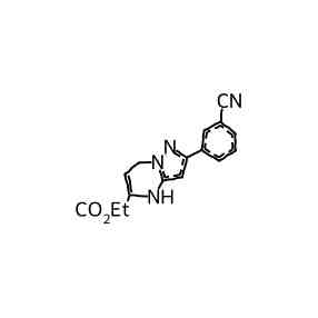 CCOC(=O)C1=CCn2nc(-c3cccc(C#N)c3)cc2N1